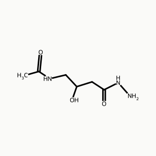 CC(=O)NCC(O)CC(=O)NN